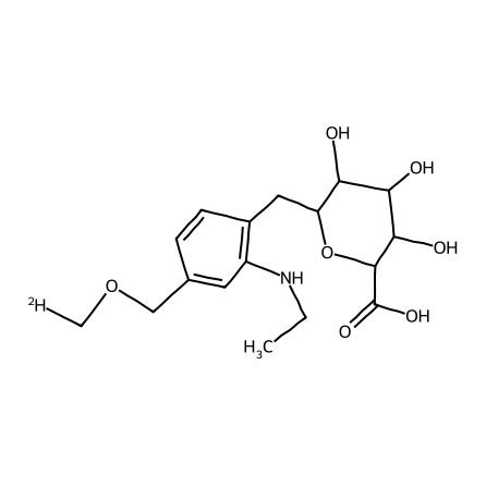 [2H]COCc1ccc(CC2OC(C(=O)O)C(O)C(O)C2O)c(NCC)c1